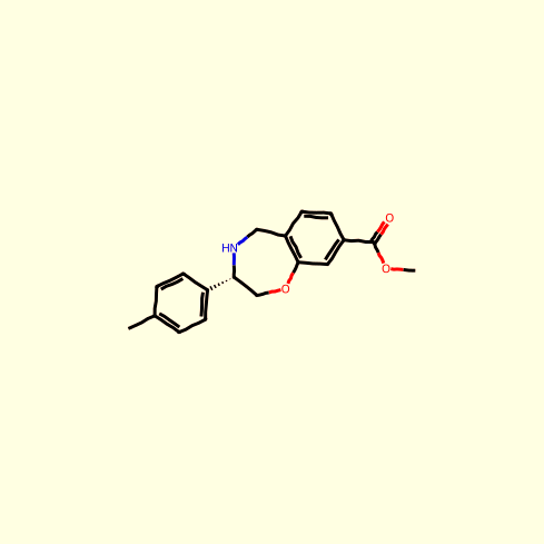 COC(=O)c1ccc2c(c1)OC[C@H](c1ccc(C)cc1)NC2